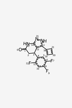 O=C1CC(c2cc(F)c(F)cc2F)c2c(n[nH]c2C2=CC=C2)N1